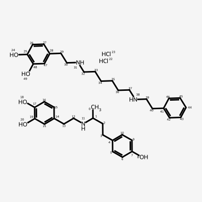 CC(CCc1ccc(O)cc1)NCCc1ccc(O)c(O)c1.Cl.Cl.Oc1ccc(CCNCCCCCCNCCc2ccccc2)cc1O